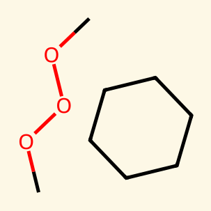 C1CCCCC1.COOOC